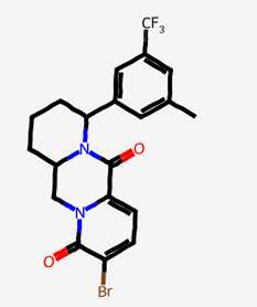 Cc1cc(C2CCCC3Cn4c(ccc(Br)c4=O)C(=O)N32)cc(C(F)(F)F)c1